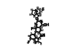 Cc1sc2c(F)ccc(-c3c(F)cc4c(O)nc(OC[C@@]56CCCN5C[C@H](F)C6)nc4c3F)c2c1C#N